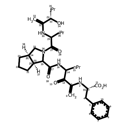 C=C(N[C@@H](Cc1ccccc1)C(=O)O)C(=O)C(CCC)NC(=O)C1[C@H]2CCC[C@H]2CN1C(=O)C(NC(=C)[C@@H](O)C(C)C)C(C)C